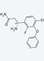 NC(=O)C[C@@H](N)c1ccc(Cl)c(Oc2ccccc2)c1F